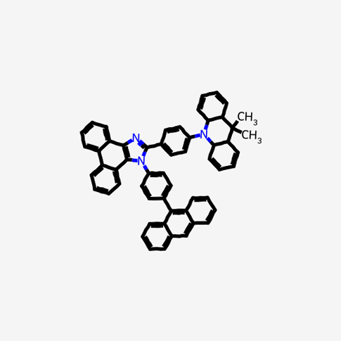 CC1(C)C2C=CC=CC2N(c2ccc(-c3nc4c5ccccc5c5ccccc5c4n3-c3ccc(-c4c5ccccc5cc5ccccc45)cc3)cc2)C2C=CC=CC21